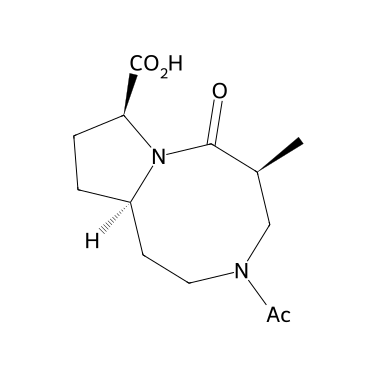 CC(=O)N1CC[C@H]2CC[C@@H](C(=O)O)N2C(=O)[C@@H](C)C1